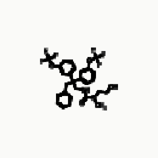 CN(CCO)C(=O)NCC(Cc1ccccc1)(c1cccc(OC(F)(F)F)c1)c1cccc(OC(F)(F)F)c1